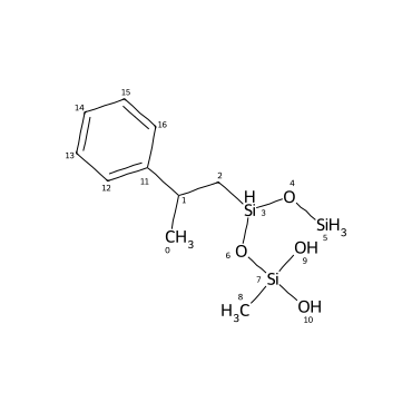 CC(C[SiH](O[SiH3])O[Si](C)(O)O)c1ccccc1